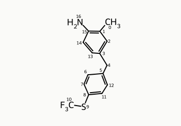 Cc1cc(Cc2ccc(SC(F)(F)F)cc2)ccc1N